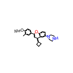 COc1ccc(C2=CC(=C3CCC3)c3cc(N4CCNCC4)ccc3O2)cc1C